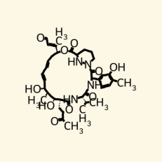 CC(=O)CC[C@H]1C(=O)N[C@@H](C(C)C)C(=O)NC(c2ccc(C)c(O)c2)C(=O)N2CCCC(N2)C(=O)O[C@H](/C(C)=C/C=O)C/C=C/C=C/[C@H](O)[C@H](C)[C@H]1O